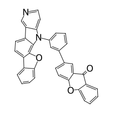 O=c1c2ccccc2oc2ccc(-c3cccc(-n4c5ccncc5c5ccc6c7ccccc7oc6c54)c3)cc12